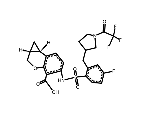 O=C(O)c1c(NS(=O)(=O)c2ccc(F)cc2CC2CCN(C(=O)C(F)(F)F)C2)ccc2c1OC[C@@H]1C[C@H]21